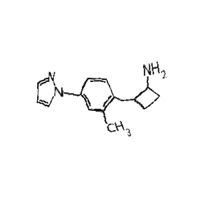 Cc1cc(-n2cccn2)ccc1C1CCC1N